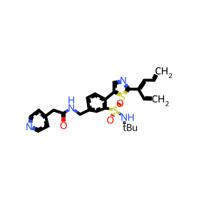 C=C/C=C(\C=C)c1ncc(-c2ccc(CNC(=O)Cc3ccncc3)cc2S(=O)(=O)NC(C)(C)C)s1